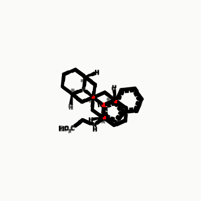 CCOC(=O)CNc1nc2ccccc2n1C1C[C@H]2CCC[C@@H](C1)N2[C@@H]1C[C@H]2CCC[C@@H](C1)N2